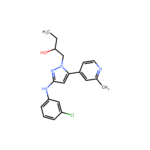 CCC(O)Cn1nc(Nc2cccc(Cl)c2)cc1-c1ccnc(C)c1